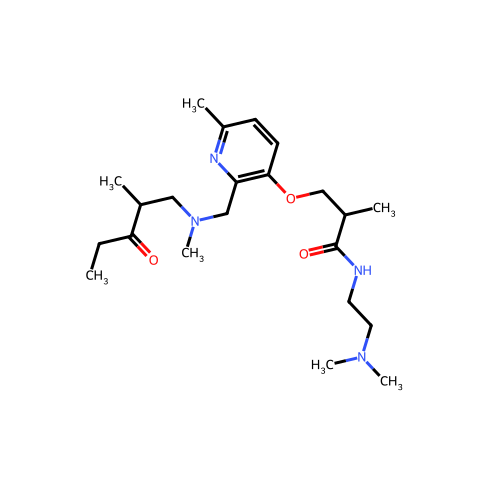 CCC(=O)C(C)CN(C)Cc1nc(C)ccc1OCC(C)C(=O)NCCN(C)C